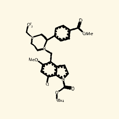 COC(=O)c1ccc(C2CN(CC(F)(F)F)CCN2Cc2c(OC)cc(Cl)c3c2ccn3C(=O)OC(C)(C)C)cc1